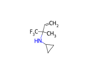 C=CC(C)(NC1CC1)C(F)(F)F